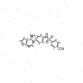 N#Cc1ccc(S(=O)(=O)Nc2ccc(N3C=Nc4occc4C3N)cc2)cc1